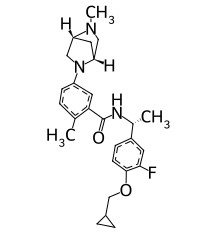 Cc1ccc(N2C[C@H]3C[C@@H]2CN3C)cc1C(=O)N[C@H](C)c1ccc(OCC2CC2)c(F)c1